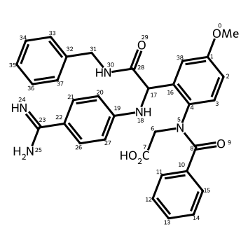 COc1ccc(N(CC(=O)O)C(=O)c2ccccc2)c(C(Nc2ccc(C(=N)N)cc2)C(=O)NCc2ccccc2)c1